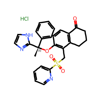 C[C@](Oc1ccc2c(c1CS(=O)(=O)c1ccccn1)CCCC2=O)(c1ccccc1)c1ncc[nH]1.Cl